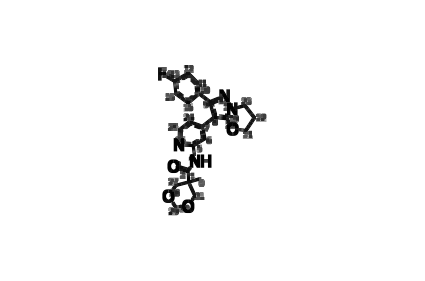 CC1(C(=O)Nc2cc(-c3c(-c4ccc(F)cc4)nn4c3OCCC4)ccn2)COCOC1